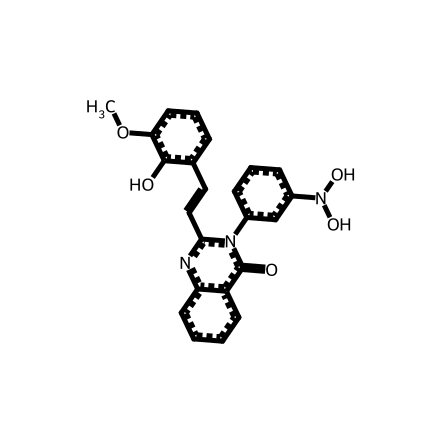 COc1cccc(/C=C/c2nc3ccccc3c(=O)n2-c2cccc(N(O)O)c2)c1O